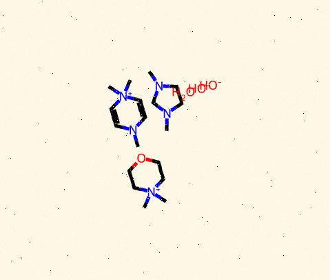 CN1C=C[N+](C)(C)C=C1.CN1CCN(C)C1.C[N+]1(C)CCOCC1.O.[OH-].[OH-]